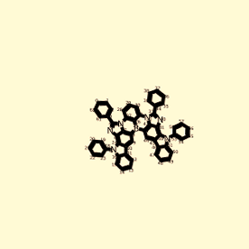 c1ccc(-c2nc3c4c(cc5c6ccccc6n(-c6ccccc6)c53)B3c5c(cccc5-n5c(-c6ccccc6)nc6c5c3cc3c5ccccc5n(-c5ccccc5)c36)-n24)cc1